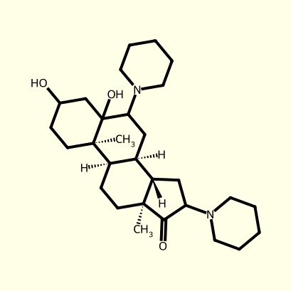 C[C@]12CC[C@@H]3[C@@H](CC(N4CCCCC4)C4(O)CC(O)CC[C@]34C)[C@@H]1CC(N1CCCCC1)C2=O